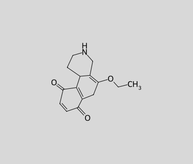 CCOC1=C2CNCCC2C2=C(C1)C(=O)C=CC2=O